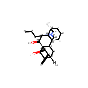 C=C1C(=O)[C@]23CC[C@H]1CC2[C@@]12CCC[C@@](C)(CN(CCC)C1)C2CC3=O